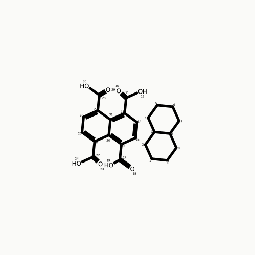 C1CCC2CCCCC2C1.O=C(O)c1ccc(C(=O)O)c2c(C(=O)O)ccc(C(=O)O)c12